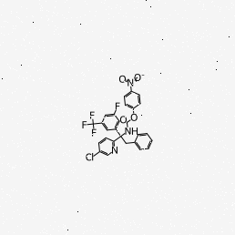 O=C(NC(Cc1ccccc1)(c1cc(F)cc(C(F)(F)F)c1)c1ccc(Cl)cn1)Oc1ccc([N+](=O)[O-])cc1